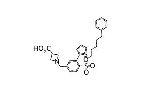 O=C(O)C1CN(Cc2ccc(S(=O)(=O)OCCCCCc3ccccc3)c(-c3cccs3)c2)C1